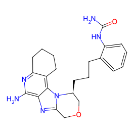 NC(=O)Nc1ccccc1CCC[C@H]1COCc2nc3c(N)nc4c(c3n21)CCCC4